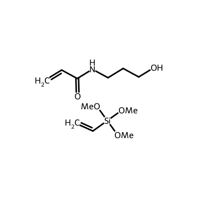 C=CC(=O)NCCCO.C=C[Si](OC)(OC)OC